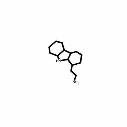 NCCC1CCCC2C3CCCCC3NC12